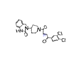 O=C(/C=C/C(=O)N1CCC(N2Cc3ccccc3NC2=O)CC1)c1ccc(Cl)c(Cl)c1